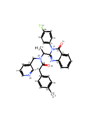 CC(c1nc2ccccc2c(=O)n1-c1ccc(F)cc1)N(Cc1cccnc1)C(=O)Cc1ccc(C(F)(F)F)cc1